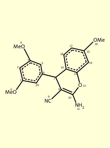 COc1cc(OC)cc(C2C(C#N)=C(N)Oc3cc(OC)ccc32)c1